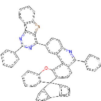 c1ccc(-c2nc(-c3ccc4nc(-c5ccccc5)c5ccc6c(c5c4c3)Oc3ccccc3C63c4ccccc4-c4ccccc43)c3sc4ccccc4c3n2)cc1